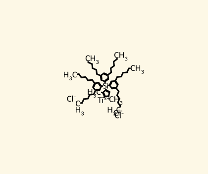 CCCCCCc1cc(CCCCCC)cc([Si](C2=CC(C)[C]([Ti+3])=C2C)(c2cc(CCCCCC)cc(CCCCCC)c2)c2cc(CCCCCC)cc(CCCCCC)c2)c1.[Cl-].[Cl-].[Cl-]